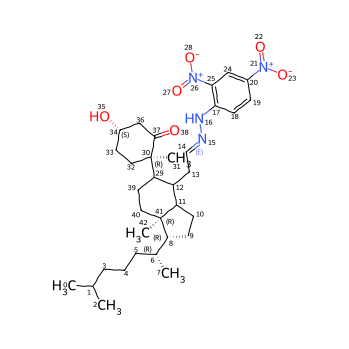 CC(C)CCC[C@@H](C)[C@H]1CCC2C(C/C=N/Nc3ccc([N+](=O)[O-])cc3[N+](=O)[O-])C([C@@]3(C)CC[C@H](O)CC3=O)CC[C@@]21C